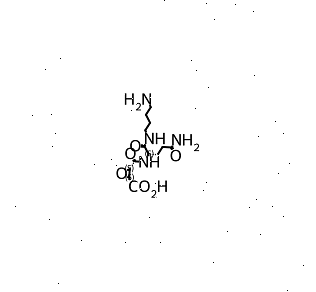 NCCCCNC(=O)[C@H](CCC(N)=O)NC(=O)[C@H]1O[C@@H]1C(=O)O